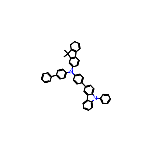 CC1(C)C2=C(C=CCC2)c2ccc(N(c3ccc(-c4ccccc4)cc3)c3ccc(-c4ccc5c(c4)c4ccccc4n5-c4ccccc4)cc3)cc21